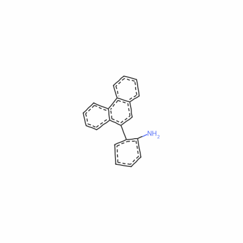 Nc1ccccc1-c1cc2ccccc2c2ccccc12